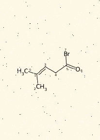 CC(C)=CCC(=O)Br